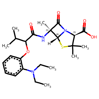 CCN(CC)c1ccccc1OC(C(=O)N[C@@]1(C)C(=O)N2[C@@H](C(=O)O)C(C)(C)S[C@@H]21)C(C)C